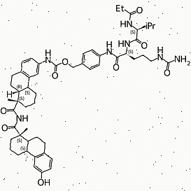 CCC(=O)N[C@H](C(=O)N[C@@H](CCCNC(N)=O)C(=O)Nc1ccc(COC(=O)Nc2ccc3c(c2)[C@@]2(C)CCC[C@](C)(C(=O)NC(=O)[C@@]4(C)CCC[C@]5(C)c6cc(O)ccc6CCC45)[C@@H]2CC3)cc1)C(C)C